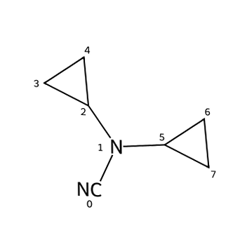 N#CN(C1CC1)C1CC1